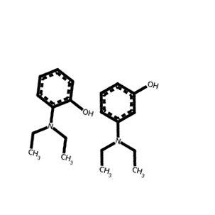 CCN(CC)c1cccc(O)c1.CCN(CC)c1ccccc1O